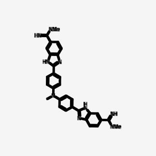 CNC(=N)c1ccc2nc(-c3ccc(N(C)c4ccc(-c5nc6ccc(C(=N)NC)cc6[nH]5)cc4)cc3)[nH]c2c1